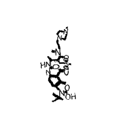 Cc1c(N(C(=O)O)C(C)(C)C)ccc2nc(NC(C)[C@H](CS(C)(=O)=O)C(=O)N(C)CCN3CCN(C)CC3)oc(=O)c12